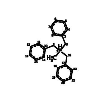 C[PH](Cc1ccccc1)(Cc1ccccc1)Cc1ccccc1